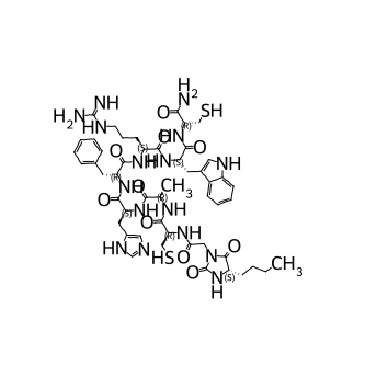 CCCC[C@@H]1NC(=O)N(CC(=O)N[C@@H](CS)C(=O)N[C@H](C)C(=O)N[C@@H](Cc2cnc[nH]2)C(=O)N[C@H](Cc2ccccc2)C(=O)N[C@@H](CCCNC(=N)N)C(=O)N[C@@H](Cc2c[nH]c3ccccc23)C(=O)N[C@@H](CS)C(N)=O)C1=O